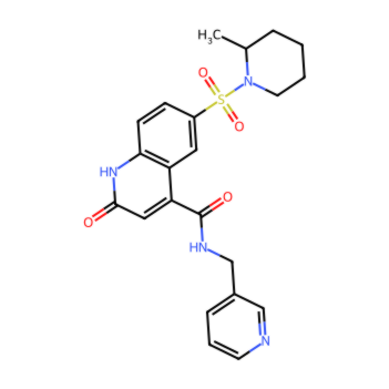 CC1CCCCN1S(=O)(=O)c1ccc2[nH]c(=O)cc(C(=O)NCc3cccnc3)c2c1